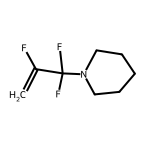 C=C(F)C(F)(F)N1CCCCC1